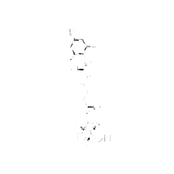 O=C(CCCCC(=O)Oc1c(I)cc(I)cc1I)OCC(F)(F)S(=O)(=O)O